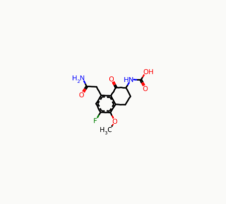 COc1c(F)cc(CC(N)=O)c2c1CCC(NC(=O)O)C2=O